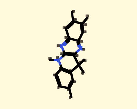 Cc1ccc2c(c1)C(C)(C)c1nc3cc(C)c(C)cc3nc1N2C